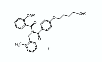 CCCCCCCCCCCCCCOc1ccc(C(=O)N(Cc2cccc[n+]2C)C(=O)c2ccccc2OC)cc1.[I-]